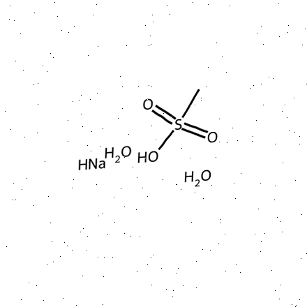 CS(=O)(=O)O.O.O.[NaH]